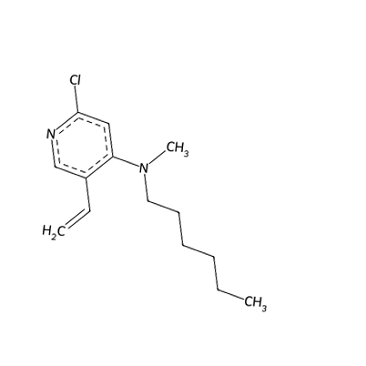 C=Cc1cnc(Cl)cc1N(C)CCCCCC